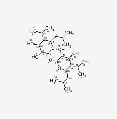 CC(C)C[C@H]1O[C@H](O[C@H]2O[C@H](CC(C)C)[C@@H](C(C)C)[C@H](O)[C@H]2O)[C@H](O)[C@@H](O)[C@@H]1C(C)C